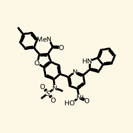 CNC(=O)c1c(-c2ccc(C)cc2)oc2cc(N(C)S(C)(=O)=O)c(-c3cc([N+](=O)O)cc(-c4cc5ccccc5[nH]4)n3)cc12